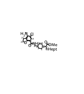 CCCCCCCC(C(=O)OC)N1CCC(CNC(=O)c2cc(Cl)c(N)c3c2OCC3)CC1